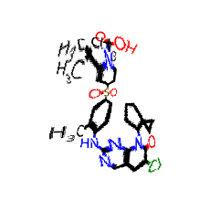 Cc1cc(S(=O)(=O)C2CCN(C(=O)O)C(C(C)(C)C)C2)ccc1Nc1ncc2cc(Cl)c(=O)n(C3CCCC34CC4)c2n1